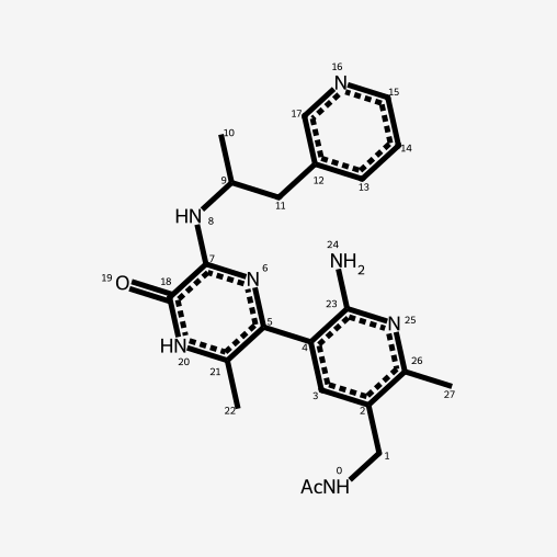 CC(=O)NCc1cc(-c2nc(NC(C)Cc3cccnc3)c(=O)[nH]c2C)c(N)nc1C